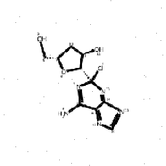 NC1=NC(Cl)([C@@H]2O[C@H](CO)C[C@H]2O)N=C2N=CN=C12